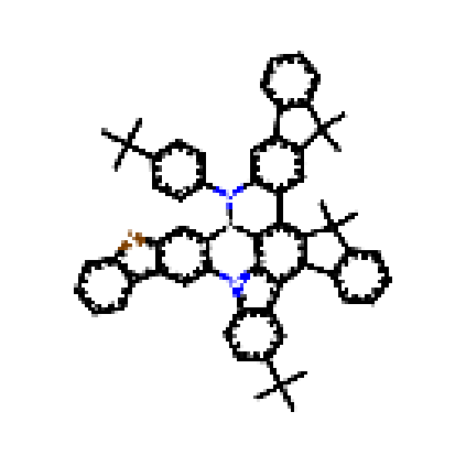 CC(C)(C)c1ccc(N2B3c4cc5sc6ccccc6c5cc4-n4c5ccc(C(C)(C)C)cc5c5c6c(c(c3c54)-c3cc4c(cc32)-c2ccccc2C4(C)C)C(C)(C)c2ccccc2-6)cc1